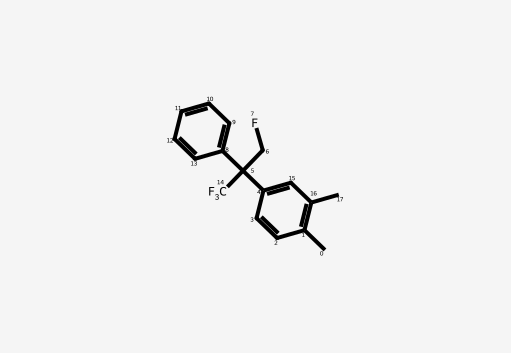 Cc1ccc(C(CF)(c2ccccc2)C(F)(F)F)cc1C